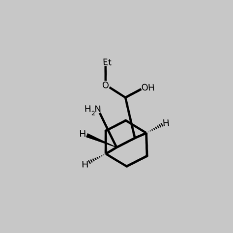 CCOC(O)C1[C@H]2CC[C@H](CC2)[C@@H]1N